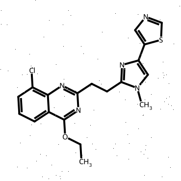 CCOc1nc(CCc2nc(-c3cncs3)cn2C)nc2c(Cl)cccc12